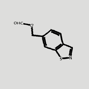 O=COCc1ccc2cnsc2c1